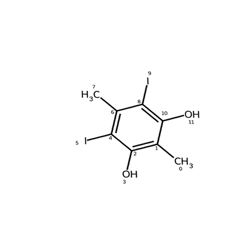 Cc1c(O)c(I)c(C)c(I)c1O